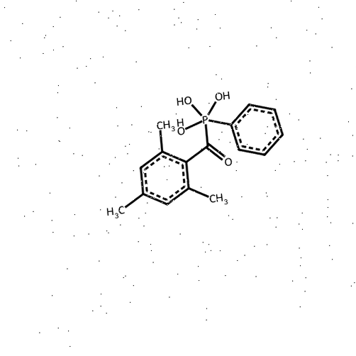 Cc1cc(C)c(C(=O)P(O)(O)(O)c2ccccc2)c(C)c1